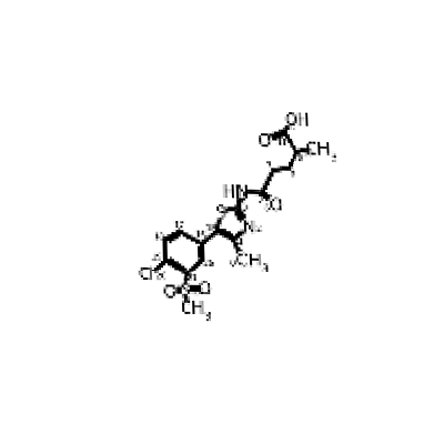 Cc1nc(NC(=O)CCC(C)C(=O)O)sc1-c1ccc(Cl)c(S(C)(=O)=O)c1